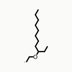 [CH2]COC(CC)CCCCCCCC